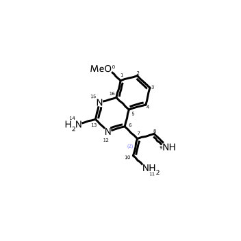 COc1cccc2c(/C(C=N)=C/N)nc(N)nc12